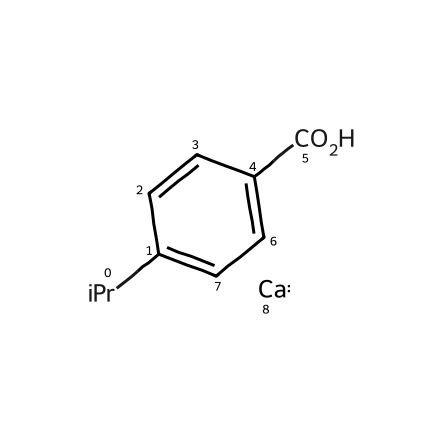 CC(C)c1ccc(C(=O)O)cc1.[Ca]